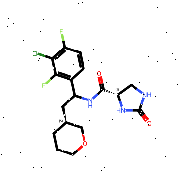 O=C1NC[C@@H](C(=O)NC(C[C@@H]2CCCOC2)c2ccc(F)c(Cl)c2F)N1